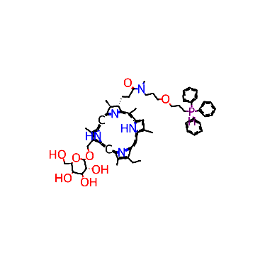 CCC1=C(C)c2cc3[nH]c(cc4nc(c(C)c5cc(C)c(cc1n2)[nH]5)[C@@H](CCC(=O)N(C)CCCOCCC[PH](c1ccccc1)(c1ccccc1)c1ccccc1)[C@@H]4C)c(C)c3CO[C@@H]1O[C@H](CO)[C@@H](O)[C@H](O)[C@H]1O